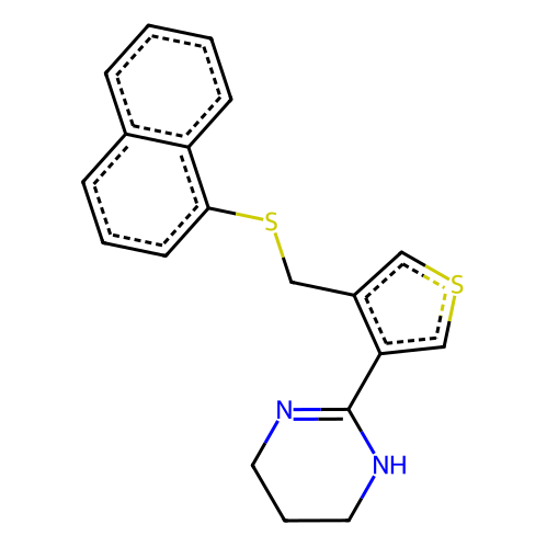 c1ccc2c(SCc3cscc3C3=NCCCN3)cccc2c1